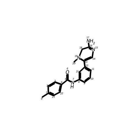 Cc1ccc(C(=O)Nc2cccc(C3=CN=C(N)CN3C)c2)cc1